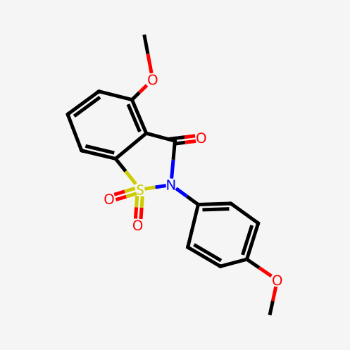 COc1ccc(N2C(=O)c3c(OC)cccc3S2(=O)=O)cc1